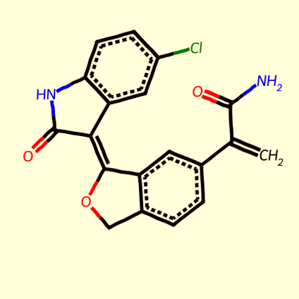 C=C(C(N)=O)c1ccc2c(c1)/C(=C1/C(=O)Nc3ccc(Cl)cc31)OC2